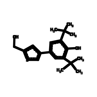 CC(C)(C)c1cc(-c2csc(CO)c2)cc(C(C)(C)C)c1O